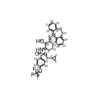 O=S(=NCC1CC1)(N[C@@H]1CCCC(SN2c3ccccc3CCc3ccccc32)[C@H]1O)c1ccc(OC(F)(F)F)cc1